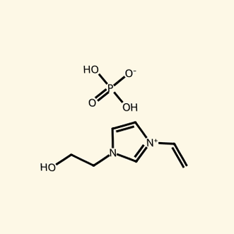 C=C[n+]1ccn(CCO)c1.O=P([O-])(O)O